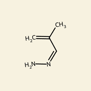 C=C(C)/C=N\N